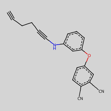 C#CCCC#CNc1cccc(Oc2ccc(C#N)c(C#N)c2)c1